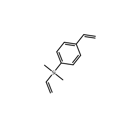 C=Cc1ccc([Si](C)(C)C=C)cc1